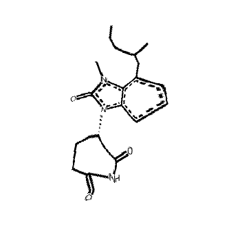 CCC(C)c1cccc2c1n(C)c(=O)n2[C@H]1CCC(=O)NC1=O